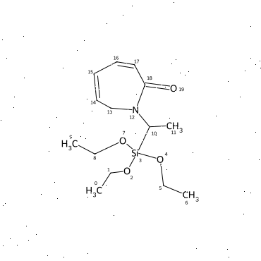 CCO[Si](OCC)(OCC)C(C)N1CC=CC=CC1=O